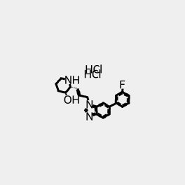 Cl.Cl.O[C@H]1CCCN[C@@H]1/C=C/Cn1cnc2ccc(-c3cccc(F)c3)cc21